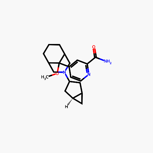 COC1(c2ccnc(C(N)=O)c2)C2CCCC1CN(C1CC3C[C@H]3C1)C2